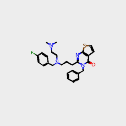 CN(C)CCN(CCCc1nc2sccc2c(=O)n1Cc1ccccc1)Cc1ccc(F)cc1